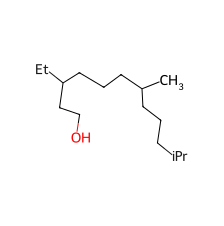 CCC(CCO)CCCC(C)CCCC(C)C